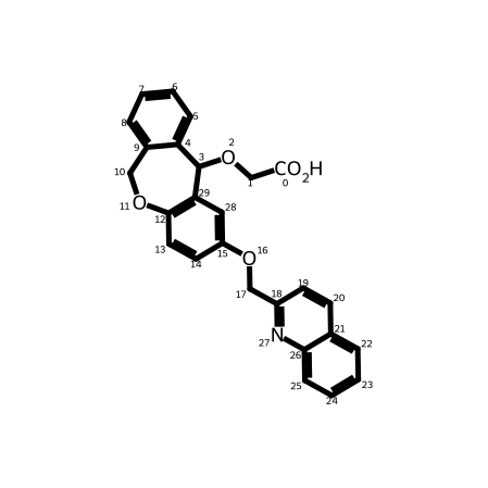 O=C(O)COC1c2ccccc2COc2ccc(OCc3ccc4ccccc4n3)cc21